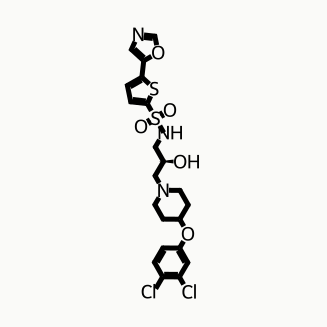 O=S(=O)(NC[C@@H](O)CN1CCC(Oc2ccc(Cl)c(Cl)c2)CC1)c1ccc(-c2cnco2)s1